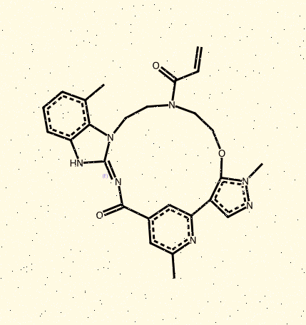 C=CC(=O)N1CCOc2c(cnn2C)-c2cc(cc(C)n2)C(=O)/N=C2\Nc3cccc(C)c3N2CC1